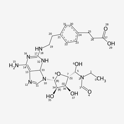 CCN(C=O)C(O)[C@H]1O[C@@H](N2C=NC3=C(N)N=C(NCCc4ccc(CCC(=O)O)cc4)NC32)[C@H](O)[C@@H]1O